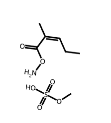 CCC=C(C)C(=O)ON.COS(=O)(=O)O